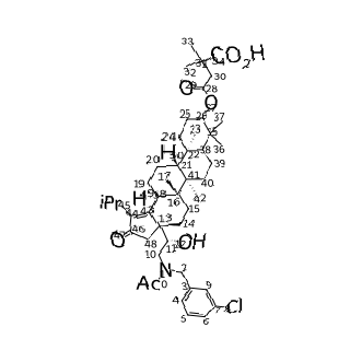 CC(=O)N(Cc1cccc(Cl)c1)C[C@@H](O)[C@@]12CC[C@]3(C)[C@H](CC[C@@H]4[C@@]5(C)CC[C@H](OC(=O)CC(C)(C)C(=O)O)C(C)(C)C5CC[C@]43C)C1=C(C(C)C)C(=O)C2